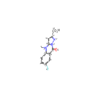 Cn1c2ccc(F)cc2c(=O)n2nc(C(=O)O)cc12